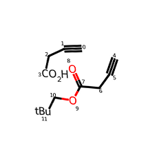 C#CCC(=O)O.C#CCC(=O)OCC(C)(C)C